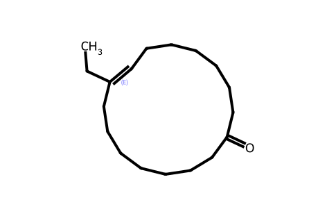 CC/C1=C\CCCCCCC(=O)CCCCCCC1